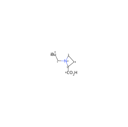 CCC(C)CN1CCC1C(=O)O